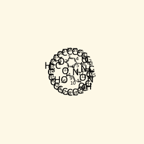 COc1ccc2c(c1)N(/C(=C\C(=O)O)C(=O)O)CN(C1CN3CCCCCCCCCCCCCCCCCCCCCC1CC3)C2=O